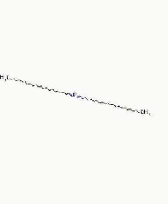 CCCCCCCCCCCCCCCCCCCCCC/C=C/[P]/C=C/CCCCCCCCCCCCCCCCCCCCCC